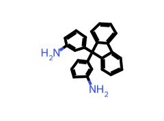 Nc1cccc(C2(c3cccc(N)c3)c3ccccc3-c3ccccc32)c1